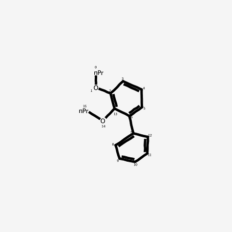 CCCOc1cccc(-c2ccccc2)c1OCCC